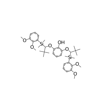 COc1cccc([Si](C)(C)C(Oc2cccc(OC(C(C)(C)C)[Si](C)(C)c3cccc(OC)c3OC)c2O)C(C)(C)C)c1OC